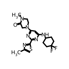 Cc1csc(-c2nc(NC3CCC(F)(F)CC3)cc(N3CCN(C)C(=O)C3)n2)n1